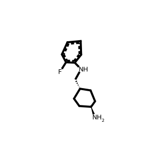 N[C@H]1CC[C@H](CNc2ccccc2F)CC1